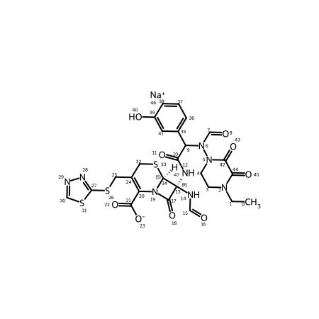 CCN1CCN(N(C=O)C(C(=O)N[C@]2(NC=O)C(=O)N3C(C(=O)[O-])=C(CSc4nncs4)CS[C@H]32)c2cccc(O)c2)C(=O)C1=O.[Na+]